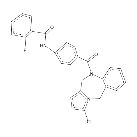 O=C(Nc1ccc(C(=O)N2Cc3ccc(Cl)n3Cc3ccccc32)cc1)c1ccccc1F